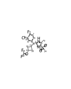 Cc1[nH]c(C(c2ccc(F)c(Cl)c2)C2CC(OC(F)F)C2)nc1S(C)(=O)=O